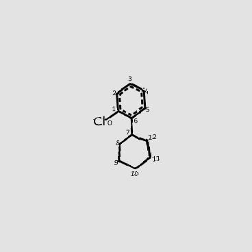 Clc1cc[c]cc1C1CCCCC1